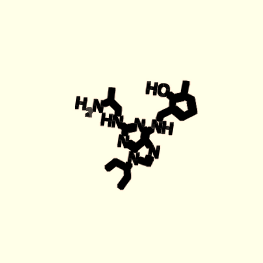 CCC(CC)n1cnc2c(NCc3cccc(C)c3O)nc(NCC(C)N)nc21